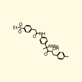 CCS(=O)(=O)c1ccc(CC(=O)Nc2ccc(C(C)(NC)C(=O)[C@@H](O)Cc3ccc(C)cc3)cc2)cc1